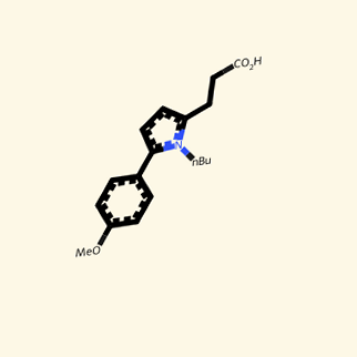 CCCCn1c(CCC(=O)O)ccc1-c1ccc(OC)cc1